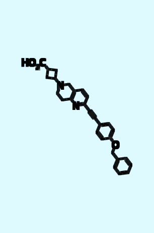 O=C(O)C1CC(N2CCc3nc(C#Cc4ccc(OCc5ccccc5)cc4)ccc3C2)C1